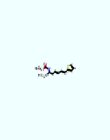 CC(C)(C)OC(=O)NC(CC=CC=Cc1cccs1)C(=O)O